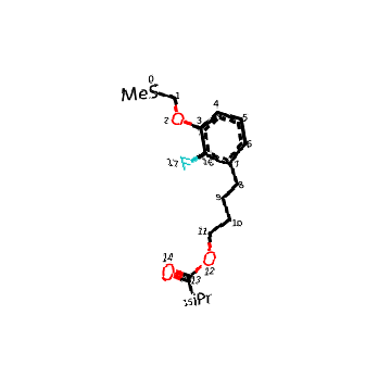 CSCOc1cccc(CCCCOC(=O)C(C)C)c1F